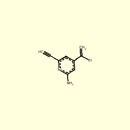 C#Cc1cc(C(=C)CC)cc(N)n1